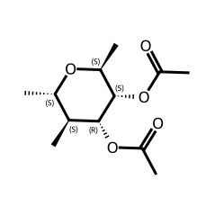 CC(=O)O[C@@H]1[C@@H](C)[C@H](C)O[C@@H](C)[C@@H]1OC(C)=O